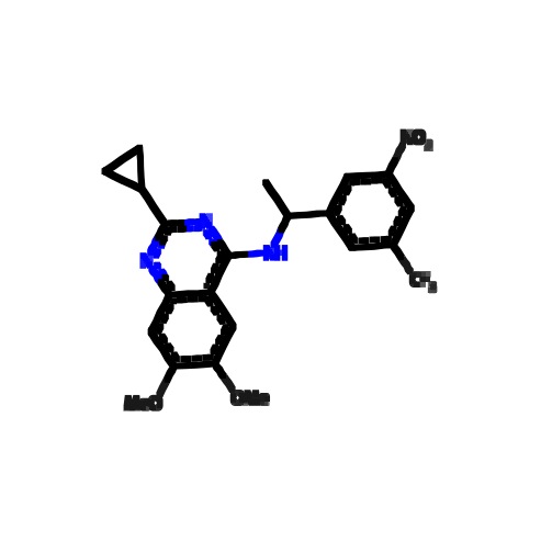 COc1cc2nc(C3CC3)nc(NC(C)c3cc([N+](=O)[O-])cc(C(F)(F)F)c3)c2cc1OC